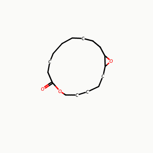 O=C1CCCCCCCCC2OC2CCCCCO1